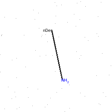 CCCCCCCCCCCCCCCCCCCCCCCCCCCCCCCCCCCCCCCCCCCCCCCCCCCCCCCCCCCCN